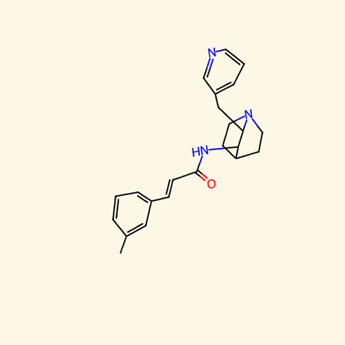 Cc1cccc(C=CC(=O)NC2C3CCN(CC3)C2Cc2cccnc2)c1